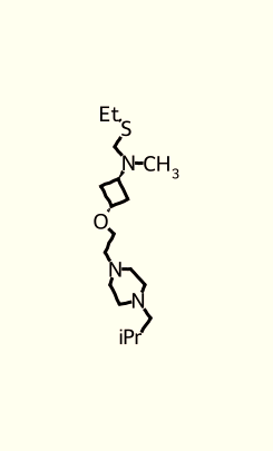 CCSCN(C)[C@H]1C[C@H](OCCN2CCN(CC(C)C)CC2)C1